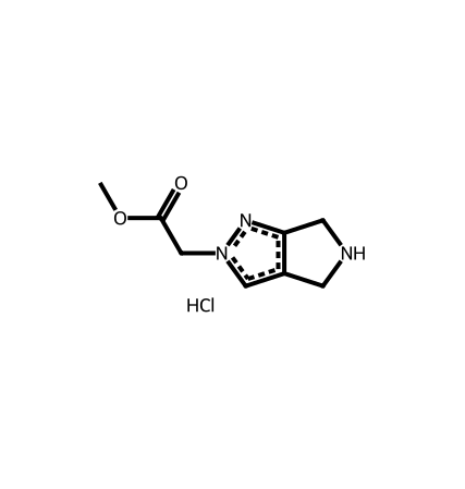 COC(=O)Cn1cc2c(n1)CNC2.Cl